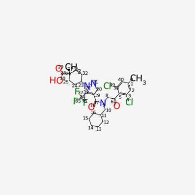 Cc1cc(Cl)c(C(=O)CN(CC2CCCCC2)C(=O)c2cnn(C3CCC(C)(C(=O)O)CC3)c2C(F)(F)F)c(Cl)c1